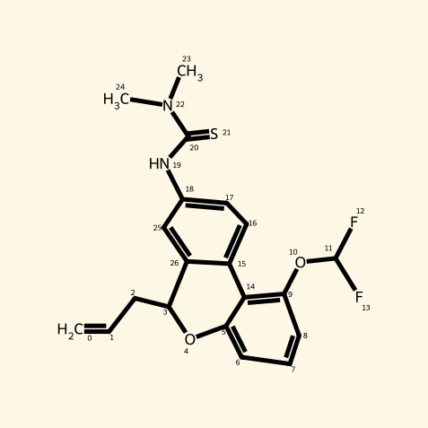 C=CCC1Oc2cccc(OC(F)F)c2-c2ccc(NC(=S)N(C)C)cc21